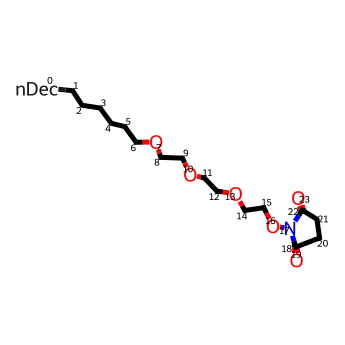 CCCCCCCCCCCCCCCCOCCOCCOCCON1C(=O)CCC1=O